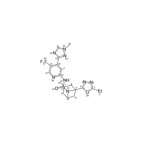 CCc1nnc(C23CC(C)CC(C2)N3C(=O)Nc2cc(-c3ncn(C)n3)c(C(F)(F)F)cn2)o1